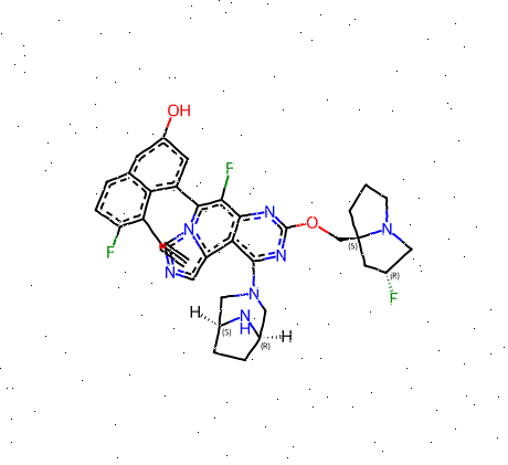 C#Cc1c(F)ccc2cc(O)cc(-c3c(F)c4nc(OC[C@@]56CCCN5C[C@H](F)C6)nc(N5C[C@H]6CC[C@@H](C5)N6)c4c4cncn34)c12